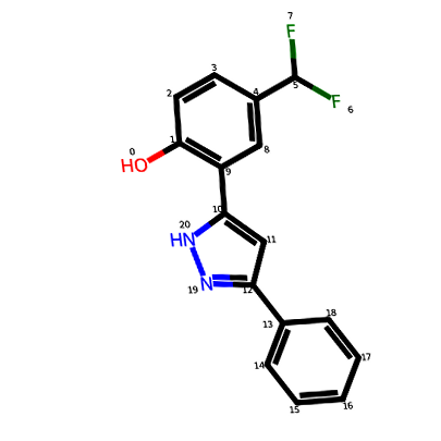 Oc1ccc(C(F)F)cc1-c1cc(-c2ccccc2)n[nH]1